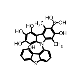 Cc1c(B(O)O)c(O)c(C)c2c1c1c(O)c(O)c(O)c(O)c1n2-c1cccc2sc3ccccc3c12